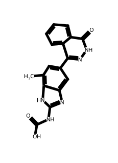 Cc1cc(-c2n[nH]c(=O)c3ccccc23)cc2nc(NC(=O)O)[nH]c12